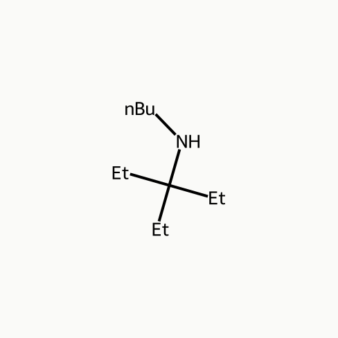 CCCCNC(CC)(CC)CC